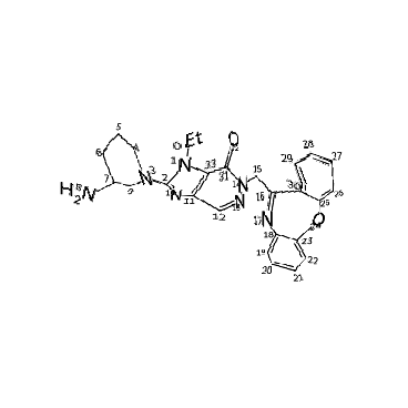 CCn1c(N2CCCC(N)C2)nc2cnn(CC3=Nc4ccccc4Oc4ccccc43)c(=O)c21